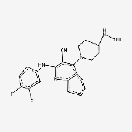 CC(C)(C)NC1CCN(c2c(C#N)c(Nc3ccc(F)c(F)c3)nc3ccccc23)CC1